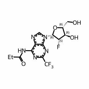 CCC(=O)Nc1nc(C(F)(F)F)nc2c1ncn2[C@@H]1O[C@H](CO)[C@@H](O)[C@@H]1F